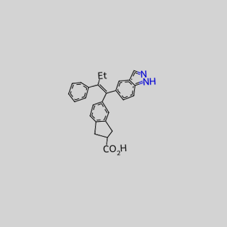 CC/C(=C(/c1ccc2c(c1)CC(C(=O)O)C2)c1ccc2[nH]ncc2c1)c1ccccc1